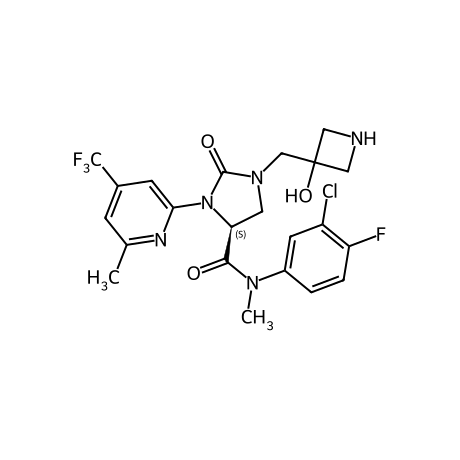 Cc1cc(C(F)(F)F)cc(N2C(=O)N(CC3(O)CNC3)C[C@H]2C(=O)N(C)c2ccc(F)c(Cl)c2)n1